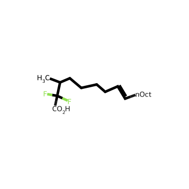 CCCCCCCC/C=C/CCCCC(C)C(F)(F)C(=O)O